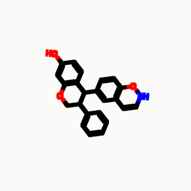 Oc1ccc2c(c1)OCC(c1ccccc1)C2c1ccc2c(c1)C=CNO2